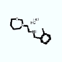 Cc1ccccc1CNCCN1CCCCCC1.Cl.Cl